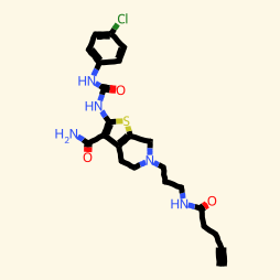 C#CCCC(=O)NCCCN1CCc2c(sc(NC(=O)Nc3ccc(Cl)cc3)c2C(N)=O)C1